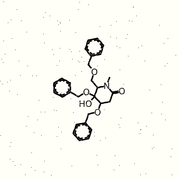 CN1C(=O)CC(OCc2ccccc2)C(O)(OCc2ccccc2)C1COCc1ccccc1